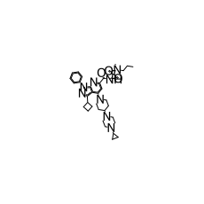 CCCN(C)S(=O)(=O)NC(=O)c1cc(N2CCC(N3CCN(C4CC4)CC3)CC2)c2c(C3CCC3)nn(-c3ccccc3)c2n1